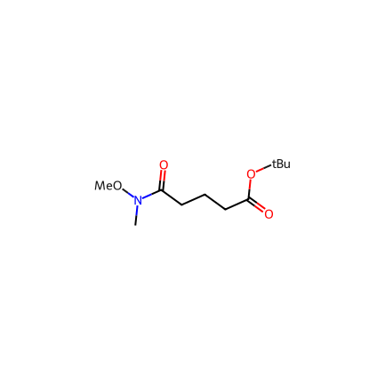 CON(C)C(=O)CCCC(=O)OC(C)(C)C